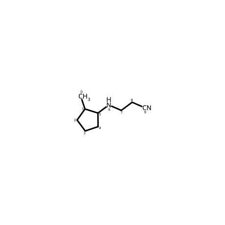 CC1CCCC1NCCC#N